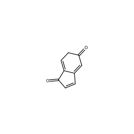 O=C1C=C2C=CC(=O)C2=CC1